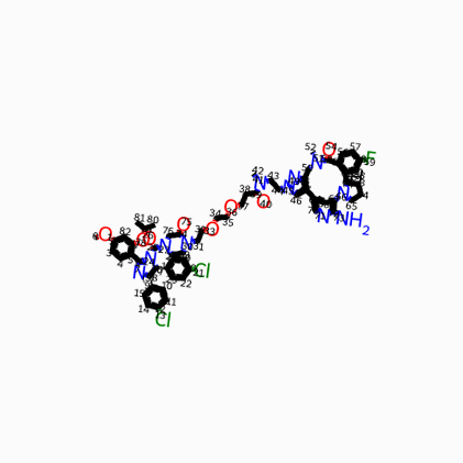 COc1ccc(C2=N[C@@H](c3ccc(Cl)cc3)[C@@H](c3ccc(Cl)cc3)N2C(=O)N2CCN(CCOCCOCCC(=O)N(C)CCn3cc4c(n3)CN(C)C(=O)c3ccc(F)cc3[C@H]3CCCN3c3cc-4cnc3N)C(=O)C2)c(OC(C)C)c1